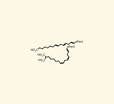 CCCCCC=CC/C=C\C/C=C\CCCCCC(C(=O)O)C(=O)O.CCCCCC=CCC=CCC=CCCCCCCC(=O)O